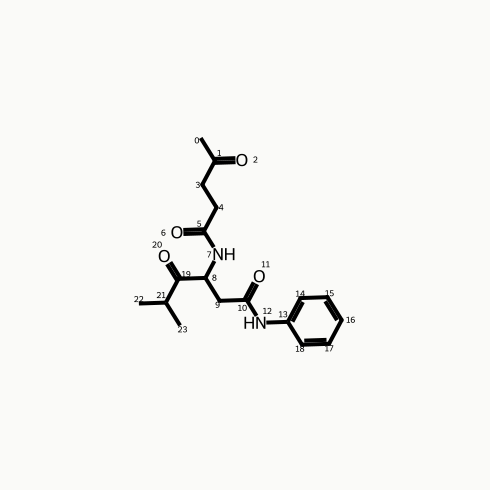 CC(=O)CCC(=O)NC(CC(=O)Nc1ccccc1)C(=O)C(C)C